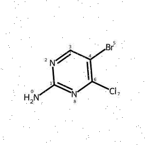 Nc1n[c]c(Br)c(Cl)n1